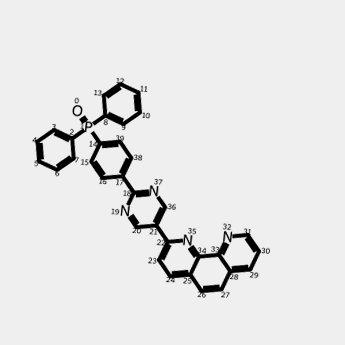 O=P(c1ccccc1)(c1ccccc1)c1ccc(-c2ncc(-c3ccc4ccc5cccnc5c4n3)cn2)cc1